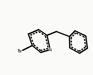 Brc1ccc(Cc2ccccc2)nc1